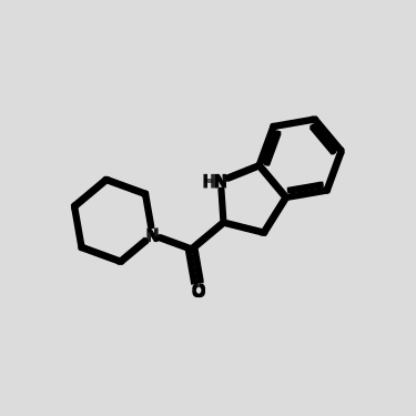 O=C(C1Cc2ccccc2N1)N1CCCCC1